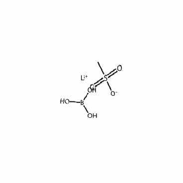 CS(=O)(=O)[O-].OB(O)O.[Li+]